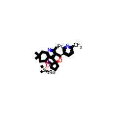 CC(C)c1nc2c(c3c1[C@@H](c1ccc(C(F)(F)F)nc1)OC31CCCC1I)C(O[Si](C)(C)C(C)(C)C)CC(C)(C)C2